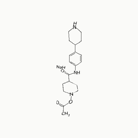 CC(=O)ON1CCC(C(=O)Nc2ccc(C3CCNCC3)cc2)CC1.[NaH]